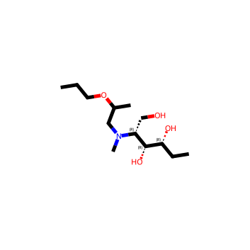 CCCOC(C)CN(C)[C@H](CO)[C@@H](O)[C@H](O)CC